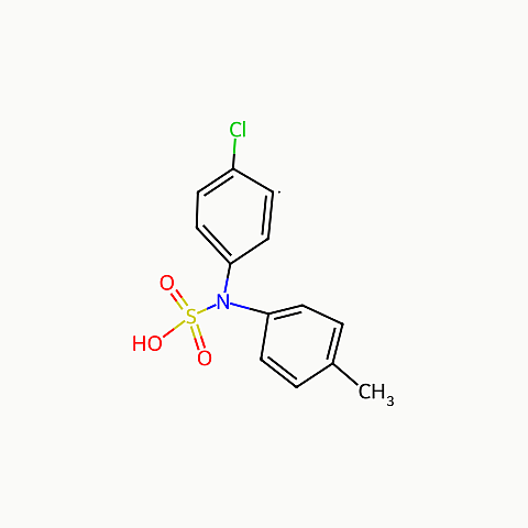 Cc1ccc(N(c2c[c]c(Cl)cc2)S(=O)(=O)O)cc1